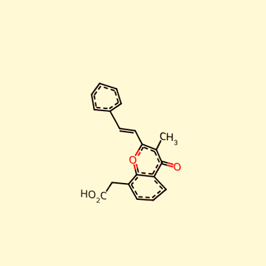 Cc1c(C=Cc2ccccc2)oc2c(CC(=O)O)cccc2c1=O